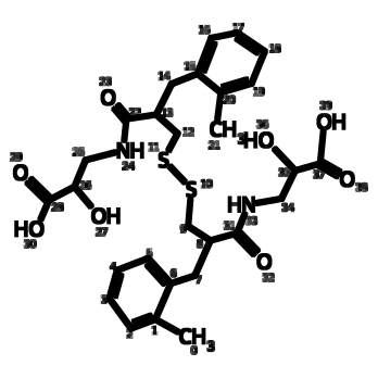 Cc1ccccc1CC(CSSCC(Cc1ccccc1C)C(=O)NCC(O)C(=O)O)C(=O)NCC(O)C(=O)O